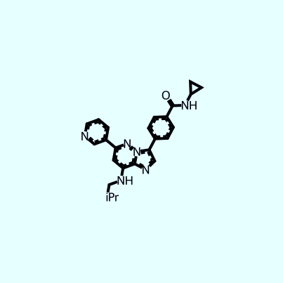 CC(C)CNc1cc(-c2cccnc2)nn2c(-c3ccc(C(=O)NC4CC4)cc3)cnc12